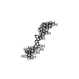 CC1OC(OC2C(O)COC(OC3C(C)OC(OC4C(OC(=O)C56CCC(C)(C)CC5C5=CCC7C8(C)CC(O)C(OC9OC(CO)C(O)C(OC%10OC(CO)C(O)C(O)C%10O)C9O)C(C)(CO)C8C(O)CC7(C)C5(C)CC6O)OCC(O)C4O)C(O)C3O)C2O)C(O)C(O)C1O